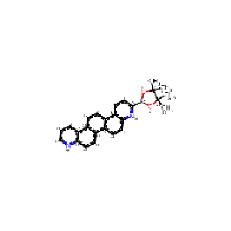 CC1(C)OB(c2ccc3c(ccc4c3ccc3c5cccnc5ccc34)n2)OC1(C)C